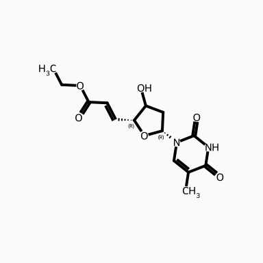 CCOC(=O)C=C[C@H]1O[C@@H](n2cc(C)c(=O)[nH]c2=O)CC1O